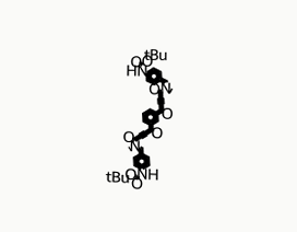 CN(Cc1ccc(NC(=O)OC(C)(C)C)cc1)C(=O)C#CC(=O)c1cccc(C(=O)C#CC(=O)N(C)Cc2ccc(NC(=O)OC(C)(C)C)cc2)c1